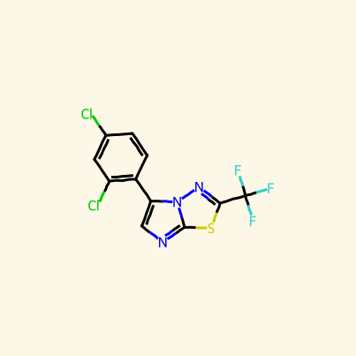 FC(F)(F)c1nn2c(-c3ccc(Cl)cc3Cl)cnc2s1